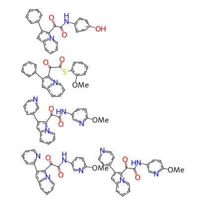 COc1ccc(NC(=O)C(=O)c2c(-c3ccccn3)cc3ccccn23)cn1.COc1ccc(NC(=O)C(=O)c2c(-c3cccnc3)cc3ccccn23)cn1.COc1ccc(NC(=O)C(=O)c2c(-c3ccncc3)cc3ccccn23)cn1.COc1ccccc1SC(=O)C(=O)c1c(-c2ccccc2)cc2ccccn12.O=C(Nc1ccc(O)cc1)C(=O)c1c(-c2ccccc2)cc2ccccn12